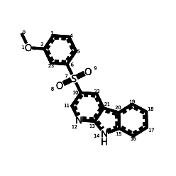 COc1cccc(S(=O)(=O)c2cnc3[nH]c4ccccc4c3c2)c1